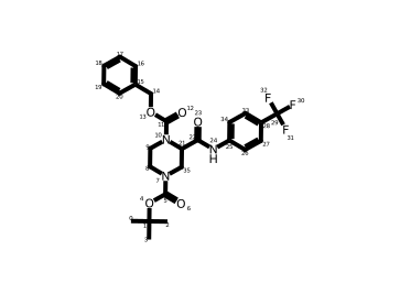 CC(C)(C)OC(=O)N1CCN(C(=O)OCc2ccccc2)C(C(=O)Nc2ccc(C(F)(F)F)cc2)C1